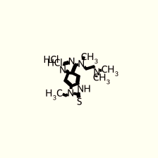 CCn1c(=S)[nH]c2cc3c(N(C)CCN(C)C)ncnc3cc21.Cl.Cl